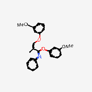 COc1cccc(OC=C(C)/C(=N\c2ccccc2)Oc2cccc(OC)c2)c1